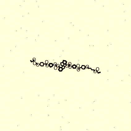 C=CC(=O)OCCCCOC1=CCC(C(=O)Oc2ccc(OC(=O)Oc3cccc4c3C3(CC4)CCc4cccc(OC(=O)Oc5ccc(OC(=O)C6CCC(OCOC(=O)C=C)CC6)cc5)c43)cc2)CC1